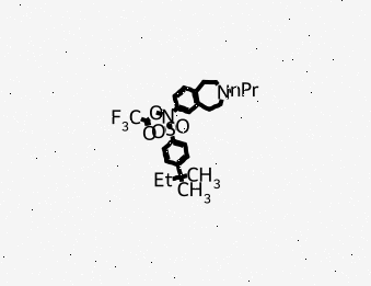 CCCN1CCc2ccc(N(OC(=O)C(F)(F)F)S(=O)(=O)c3ccc(C(C)(C)CC)cc3)cc2CC1